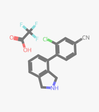 N#Cc1ccc(-c2cccc3c2CNC3)c(Cl)c1.O=C(O)C(F)(F)F